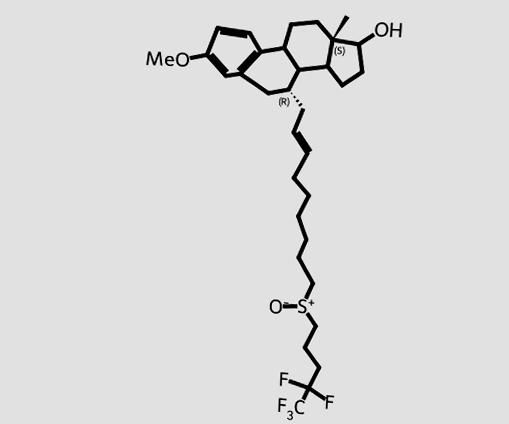 COc1ccc2c(c1)C[C@@H](CC=CCCCCCC[S+]([O-])CCCC(F)(F)C(F)(F)F)C1C2CC[C@]2(C)C(O)CCC12